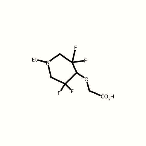 CCN1CC(F)(F)C(OCC(=O)O)C(F)(F)C1